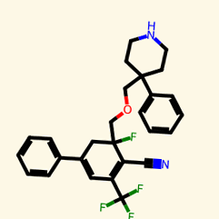 N#CC1=C(C(F)(F)F)C=C(c2ccccc2)CC1(F)COCC1(c2ccccc2)CCNCC1